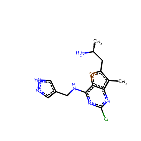 Cc1c(C[C@H](C)N)sc2c(NCc3cn[nH]c3)nc(Cl)nc12